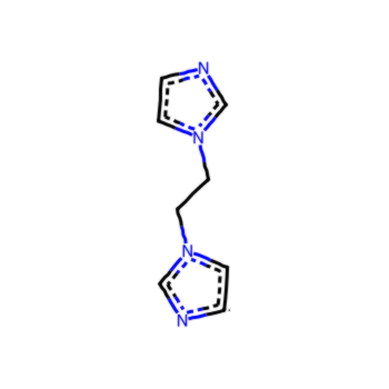 [c]1cn(CCn2ccnc2)cn1